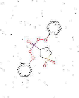 O=P(OOc1ccccc1)(OOc1ccccc1)C1CCS(=O)(=O)C1